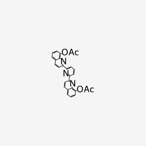 CC(=O)Oc1cccc2ccc(-c3cccc(-c4ccc5cccc(OC(C)=O)c5n4)n3)nc12